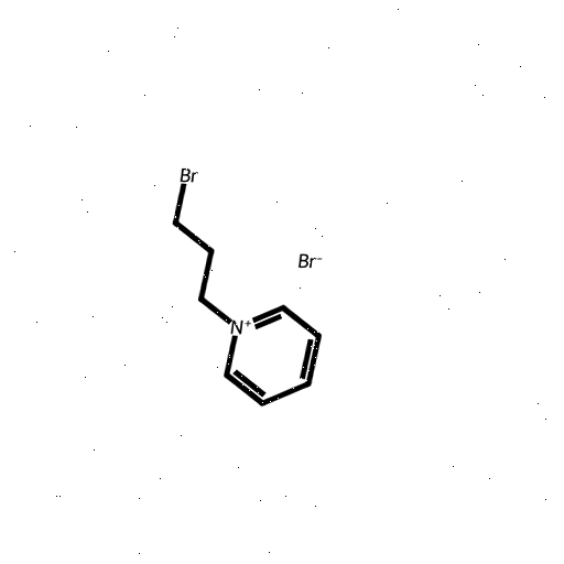 BrCCC[n+]1ccccc1.[Br-]